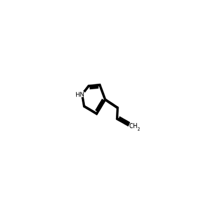 C=CCC1=CCNC=C1